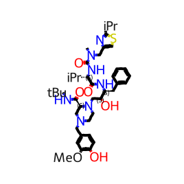 COc1cc(CN2CCN(C[C@H](O)[C@H](Cc3ccccc3)NC(=O)[C@@H](NC(=O)N(C)Cc3csc(C(C)C)n3)C(C)C)[C@H](C(=O)NC(C)(C)C)C2)ccc1O